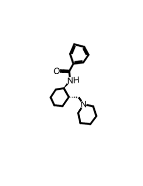 O=C(N[C@@H]1CCCC[C@H]1CN1CCCCC1)c1ccccc1